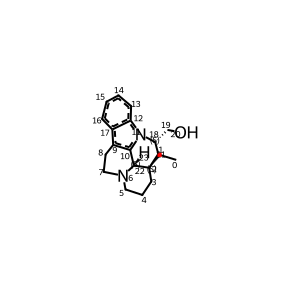 CC[C@]12CCCN3CCc4c(n(c5ccccc45)[C@H](CO)C1)[C@@H]32